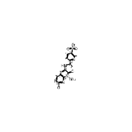 CC[C@@H](C)n1c(=O)c(N[C@H](C)c2ccc(S(=O)(=O)CC)cn2)nc2cnc(Cl)nc21